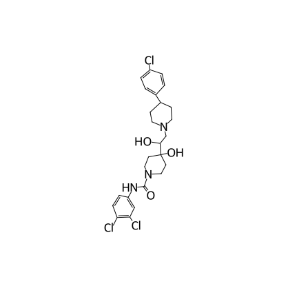 O=C(Nc1ccc(Cl)c(Cl)c1)N1CCC(O)(C(O)CN2CCC(c3ccc(Cl)cc3)CC2)CC1